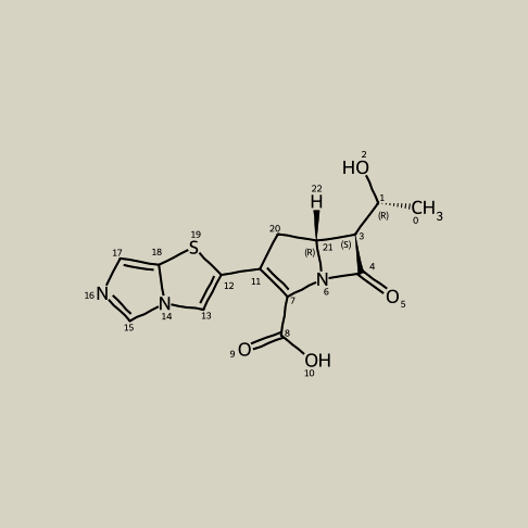 C[C@@H](O)[C@H]1C(=O)N2C(C(=O)O)=C(c3cn4cncc4s3)C[C@H]12